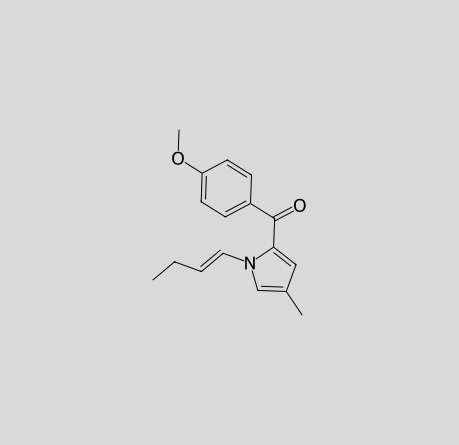 CCC=Cn1cc(C)cc1C(=O)c1ccc(OC)cc1